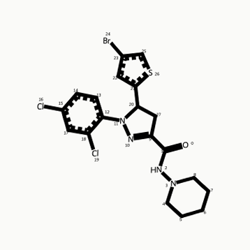 O=C(NN1CCCCC1)C1=NN(c2ccc(Cl)cc2Cl)C(c2cc(Br)cs2)C1